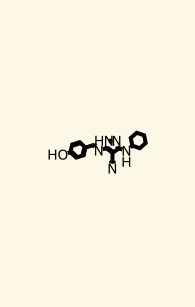 N#Cc1c(NC2CCCCC2)n[nH]c1/N=C/c1ccc(O)cc1